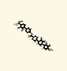 CCCC(O)c1ccc(C2CCC(OC(=O)C3CCC(c4ccc(-c5ccc(O)c(F)c5F)c(F)c4F)CC3)CC2)c(F)c1F